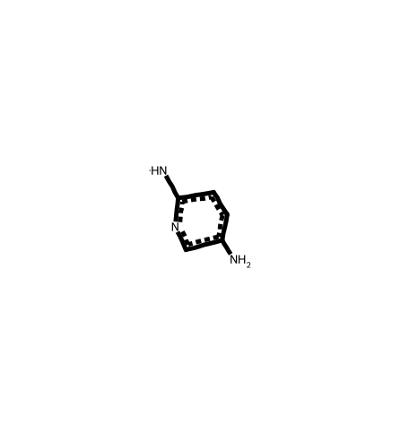 [NH]c1ccc(N)cn1